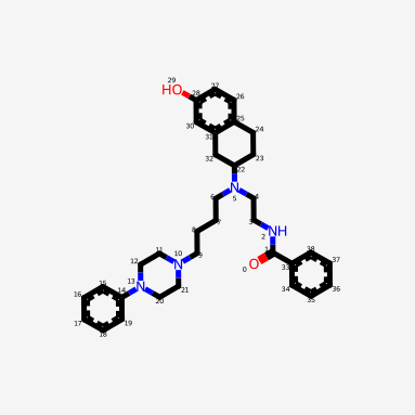 O=C(NCCN(CCCCN1CCN(c2ccccc2)CC1)C1CCc2ccc(O)cc2C1)c1ccccc1